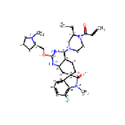 C=CC(=O)N1CCN(C2NC(OC[C@H]3CCCN3C)NC3C[C@@]4(CCC32)C(=O)N(C)c2c(F)cccc24)C[C@H]1CC#N